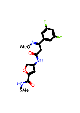 CO/N=C(\CC(=O)NC1C=C(C(=O)NSC)OC1)c1cc(F)cc(F)c1